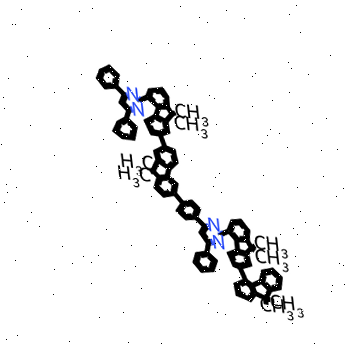 CC1(C)c2ccc(-c3ccc(-c4cc(-c5ccccc5)nc(-c5cccc6c5-c5ccc(-c7cccc8c7-c7ccccc7C8(C)C)cc5C6(C)C)n4)cc3)cc2-c2ccc(-c3ccc4c(c3)C(C)(C)c3cccc(-c5nc(-c6ccccc6)cc(-c6ccccc6)n5)c3-4)cc21